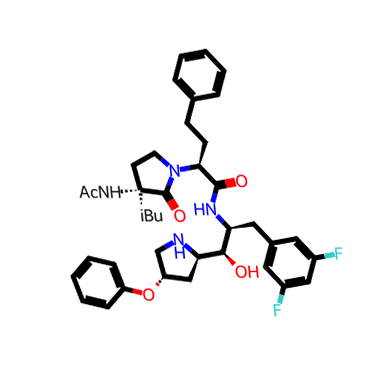 CC[C@@H](C)[C@@]1(NC(C)=O)CCN([C@@H](CCc2ccccc2)C(=O)N[C@@H](Cc2cc(F)cc(F)c2)[C@@H](O)[C@H]2C[C@H](Oc3ccccc3)CN2)C1=O